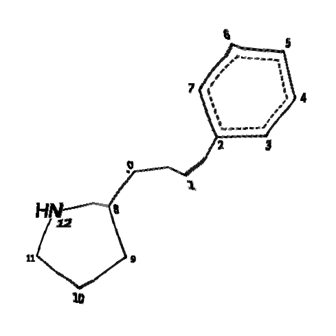 [CH](Cc1ccccc1)C1CCCN1